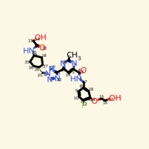 Cc1nc(C(=O)NCc2ccc(F)c(OCCO)c2)cc(-c2nnn(C[C@H]3CC[C@H](NC(=O)CO)CC3)n2)n1